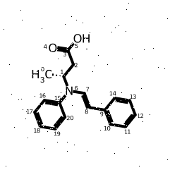 C[C@H](CC(=O)O)N(C=Cc1ccccc1)c1ccccc1